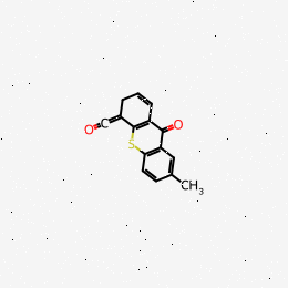 Cc1ccc2sc3c(c(=O)c2c1)C=CCC3=C=O